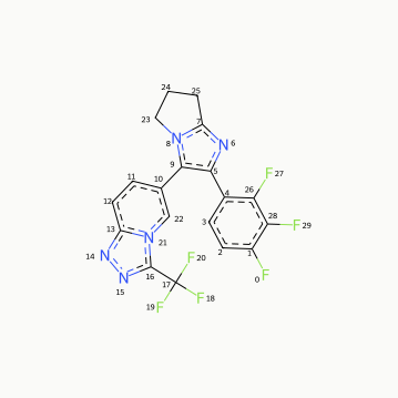 Fc1ccc(-c2nc3n(c2-c2ccc4nnc(C(F)(F)F)n4c2)CCC3)c(F)c1F